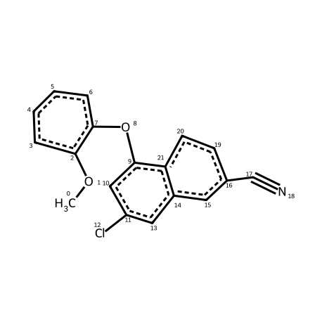 COc1ccccc1Oc1cc(Cl)cc2cc(C#N)ccc12